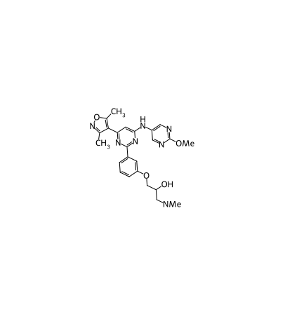 CNCC(O)COc1cccc(-c2nc(Nc3cnc(OC)nc3)cc(-c3c(C)noc3C)n2)c1